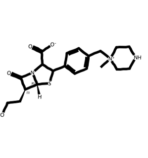 C[N+]1(Cc2ccc(C3S[C@@H]4[C@@H](CCO)C(=O)N4C3C(=O)[O-])cc2)CCNCC1